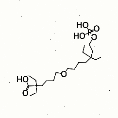 CCC(CC)(CCCCOCCCCC(CC)(CC)C(=O)O)CCOP(=O)(O)O